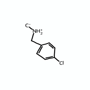 [CH2-][NH2+]Cc1ccc(Cl)cc1